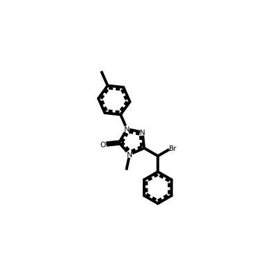 Cc1ccc(-n2nc(C(Br)c3ccccc3)n(C)c2=O)cc1